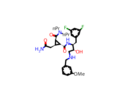 CCCN(CCC)C(=O)[C@@H]1[C@H](CC(N)=O)[C@H]1C(=O)N[C@@H](Cc1cc(F)cc(F)c1)[C@H](O)CNCc1cccc(OC)c1